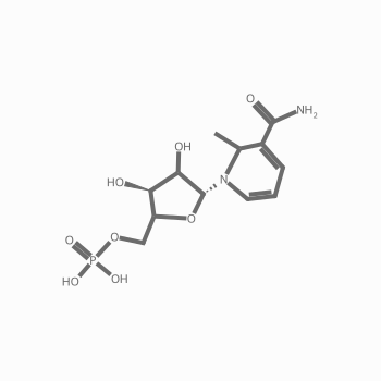 CC1C(C(N)=O)=CC=CN1[C@@H]1OC(COP(=O)(O)O)[C@@H](O)C1O